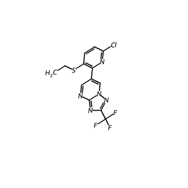 CCSc1ccc(Cl)nc1-c1cnc2nc(C(F)(F)F)nn2c1